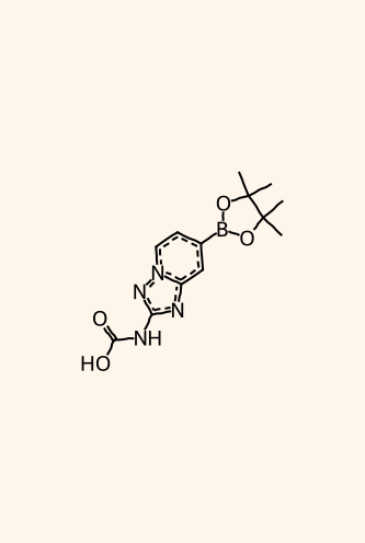 CC1(C)OB(c2ccn3nc(NC(=O)O)nc3c2)OC1(C)C